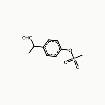 CC(C=O)c1ccc(OS(C)(=O)=O)cc1